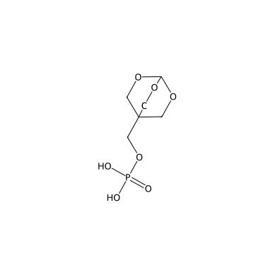 O=P(O)(O)OCC12COC(OC1)OC2